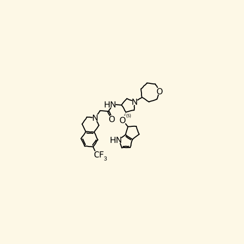 O=C(CN1CCc2ccc(C(F)(F)F)cc2C1)NC1CN(C2CCCOCC2)C[C@@H]1OC1CCc2cc[nH]c21